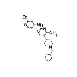 CCc1cc(Nc2ncc(C3CCN(CC4CCCC4)CC3)c(N)n2)ccn1